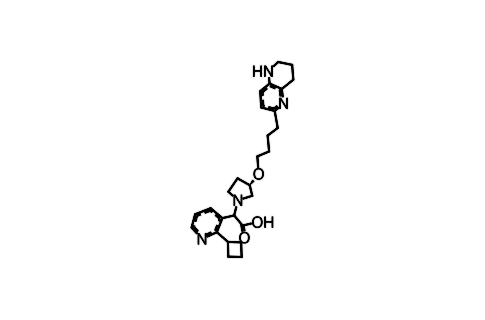 O=C(O)C(c1cccnc1C1CCC1)N1CC[C@@H](OCCCCc2ccc3c(n2)CCCN3)C1